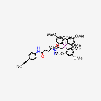 COc1cc(OC)c([PH](CC(=O)NCCCC(=O)Nc2ccc(C#CC#N)cc2)(c2c(OC)cc(OC)cc2OC)c2c(OC)cc(OC)cc2OC)c(OC)c1